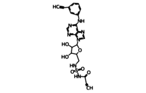 C#CC(=O)NS(=O)(=O)NCC1OC(n2cnc3c(Nc4cccc(C#C)c4)ncnc32)C(O)C1O